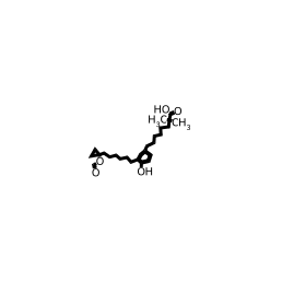 CC(C)(CCCCCCc1ccc(O)c(CCCCCCC2(OC=O)CC2)c1)C(=O)O